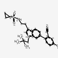 Cc1ccc(-c2ccc3c(CCNS(=O)(=O)C4CC4)cn(CC(C)(C)C)c3c2)c(C#N)c1